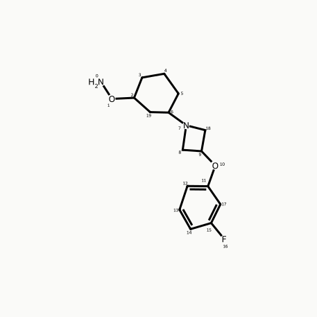 NOC1CCCC(N2CC(Oc3cccc(F)c3)C2)C1